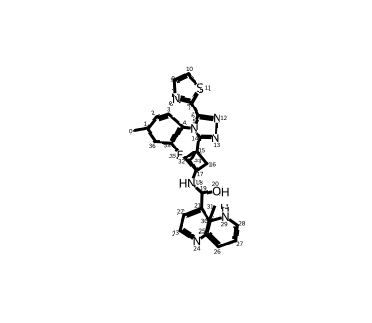 CC1C=CC(n2c(-c3nccs3)nnc2C23CC(NC(O)C4=CC=NC5=CC=CNC54C)(C2)C3)=C(F)C1